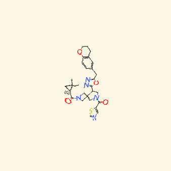 CC1(C)C[C@@H]1C(=O)N1CC2(CN(C(=O)c3cncs3)CC2c2nnc(Cc3ccc4c(c3)CCCO4)o2)C1